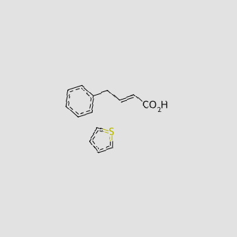 O=C(O)C=CCc1ccccc1.c1ccsc1